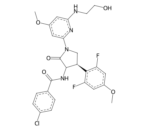 COc1cc(NCCO)nc(N2C[C@@H](c3c(F)cc(OC)cc3F)C(NC(=O)c3ccc(Cl)cc3)C2=O)c1